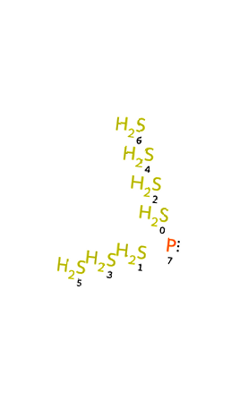 S.S.S.S.S.S.S.[P]